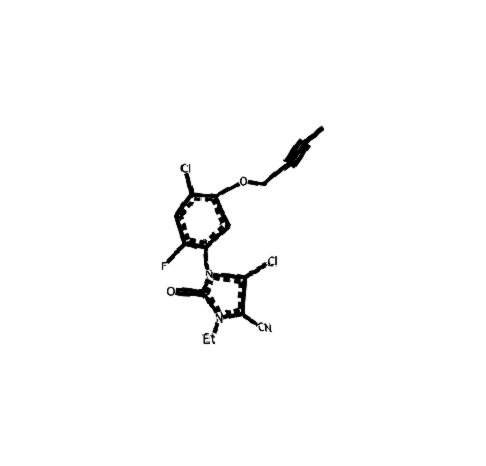 CC#CCOc1cc(-n2c(Cl)c(C#N)n(CC)c2=O)c(F)cc1Cl